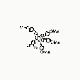 COc1ccc(COCC2O[C@@H](c3ccc(Cl)c(CBr)c3)[C@@H](OCc3ccc(OC)cc3)[C@@H](OCc3ccc(OC)cc3)[C@@H]2OCc2ccc(OC)cc2)cc1